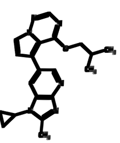 Cc1nc2ncc(-c3ccn4ncnc(OCC(C)C)c34)cc2n1C1CC1